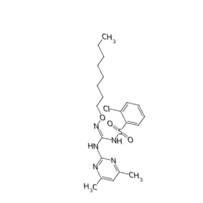 CCCCCCCCON=C(Nc1nc(C)cc(C)n1)NS(=O)(=O)c1ccccc1Cl